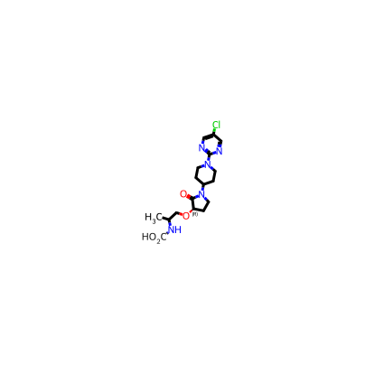 CC(CO[C@@H]1CCN(C2CCN(c3ncc(Cl)cn3)CC2)C1=O)NC(=O)O